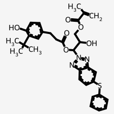 C=C(C)C(=O)OCC(O)C(OC(=O)CCc1ccc(O)c(C(C)(C)C)c1)n1nc2ccc(Sc3ccccc3)cc2n1